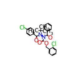 CC(C)(C)N(C(=O)c1ccc(Cl)cc1)N(C(=O)OCc1ccccc1Cl)C(=O)c1ccccc1